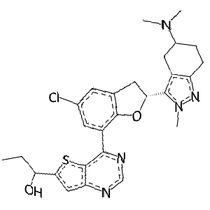 CCC(O)c1cc2ncnc(-c3cc(Cl)cc4c3O[C@@H](c3c5c(nn3C)CCC(N(C)C)C5)C4)c2s1